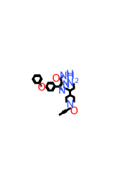 CC#CC(=O)N1CCC(C2CCNn3c2nc(-c2ccc(Oc4ccccc4)cc2)c3C(N)=O)CC1